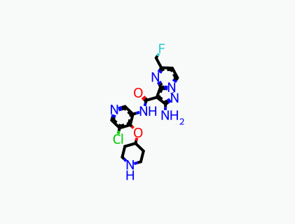 Nc1nn2ccc(CF)nc2c1C(=O)Nc1cncc(Cl)c1OC1CCNCC1